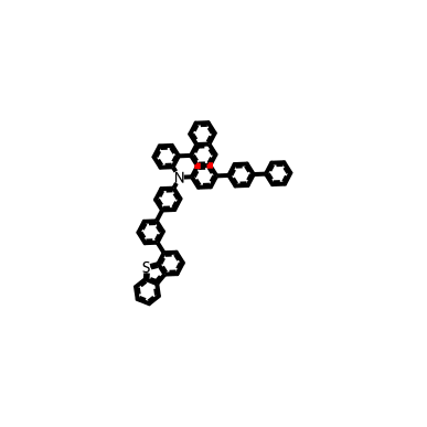 c1ccc(-c2ccc(-c3ccc(N(c4ccc(-c5cccc(-c6cccc7c6sc6ccccc67)c5)cc4)c4ccccc4-c4cccc5ccccc45)cc3)cc2)cc1